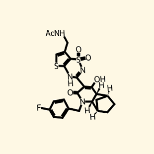 CC(=O)NCc1csc2c1S(=O)(=O)N=C(C1=C(O)[C@@H]3[C@H]4CC[C@H](C4)[C@@H]3N(Cc3ccc(F)cc3)C1=O)N2